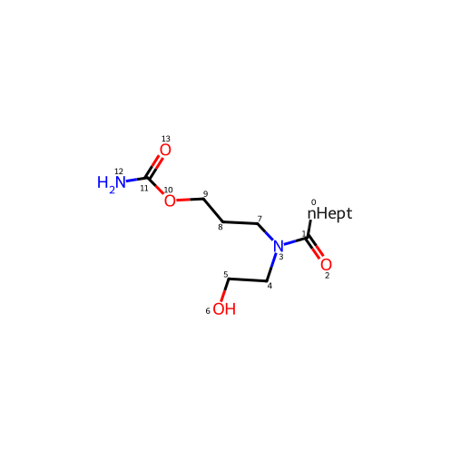 CCCCCCCC(=O)N(CCO)CCCOC(N)=O